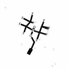 C#CCOP(=O)(C(F)(F)C(F)(F)F)C(F)(F)C(F)(F)F